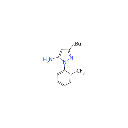 CC(C)(C)c1cc(N)n(-c2ccccc2C(F)(F)F)n1